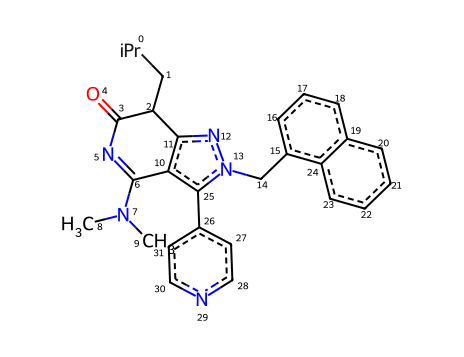 CC(C)CC1C(=O)N=C(N(C)C)c2c1nn(Cc1cccc3ccccc13)c2-c1ccncc1